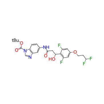 CC(C)(C)OC(=O)n1cnc2cc(NC(=O)CC(O)c3c(F)cc(OCCC(F)F)cc3F)ccc21